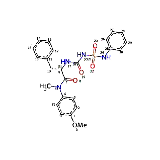 COc1ccc(N(C)C(=O)[C@H](Cc2ccccc2)NC(=O)NS(=O)(=O)Nc2ccccc2)cc1